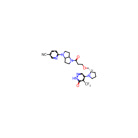 N#Cc1ccc(N2CCC3C2CCN3C(=O)CCOC[C@@H]2CCCN2c2cn[nH]c(=O)c2C(F)(F)F)nc1